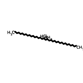 CCCCCCCCCCCCCCCCCCCCCCCCCCCCCCCCCCCCC.Cl.N